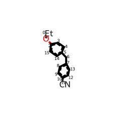 CCOc1ccc(Cc2ccc(C#N)cc2)cc1